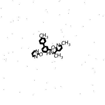 Cc1ccc(-c2cc(Oc3ncccn3)cc(C(=O)NC(C)c3ccc(C)nc3)c2)cc1